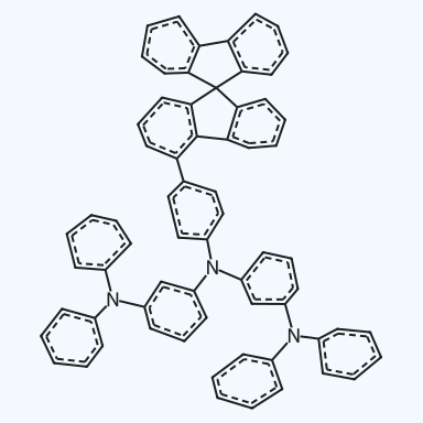 c1ccc(N(c2ccccc2)c2cccc(N(c3ccc(-c4cccc5c4-c4ccccc4C54c5ccccc5-c5ccccc54)cc3)c3cccc(N(c4ccccc4)c4ccccc4)c3)c2)cc1